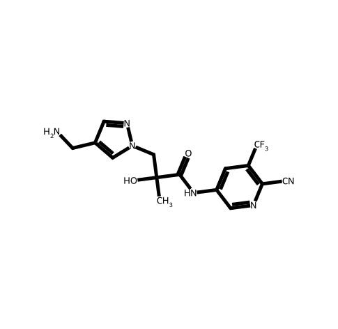 CC(O)(Cn1cc(CN)cn1)C(=O)Nc1cnc(C#N)c(C(F)(F)F)c1